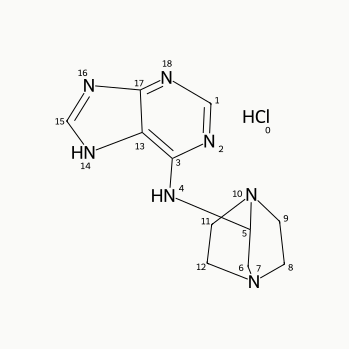 Cl.c1nc(NC2CN3CCN2CC3)c2[nH]cnc2n1